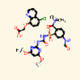 COc1cc(OC)nc(NC(=O)NS(=O)(=O)c2cc(NC=O)ccc2C(=O)N(C)C)n1.O=C(O)COc1ccc(Cl)c2cccnc12